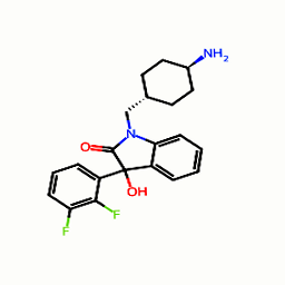 N[C@H]1CC[C@H](CN2C(=O)C(O)(c3cccc(F)c3F)c3ccccc32)CC1